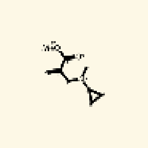 C=C(CN(C)C1CC1)C(=O)OC